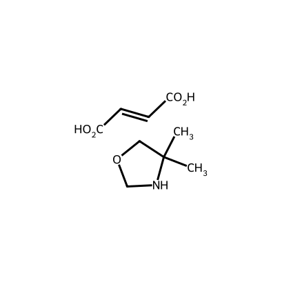 CC1(C)COCN1.O=C(O)/C=C/C(=O)O